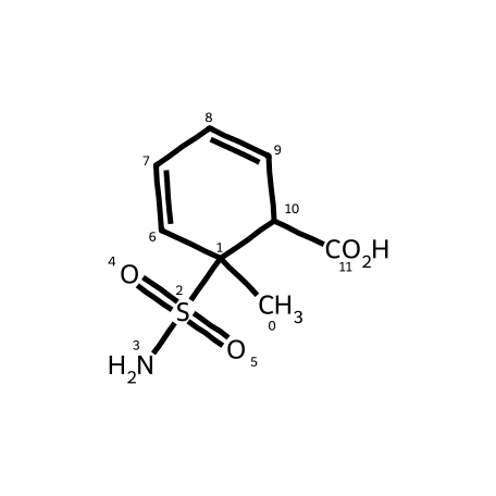 CC1(S(N)(=O)=O)C=CC=CC1C(=O)O